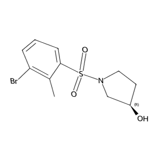 Cc1c(Br)cccc1S(=O)(=O)N1CC[C@@H](O)C1